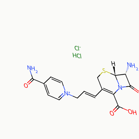 Cl.NC(=O)c1cc[n+](CC=CC2=C(C(=O)O)N3C(=O)[C@@H](N)[C@H]3SC2)cc1.[Cl-]